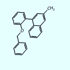 Cc1cc(-c2ccccc2OCc2ccccc2)c2ccccc2c1